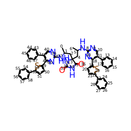 CC(CC1(CC(C)Nc2ncc(-c3ccccc3)c(-c3ccc(-c4ccccc4)s3)n2)NC(=O)NC1=O)Nc1ncc(-c2ccccc2)c(-c2ccc(-c3ccccc3)s2)n1